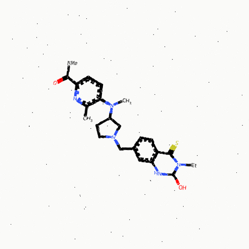 CCN1C(=S)c2ccc(CN3CCC(N(C)c4ccc(C(=O)NC)nc4C)C3)cc2NC1O